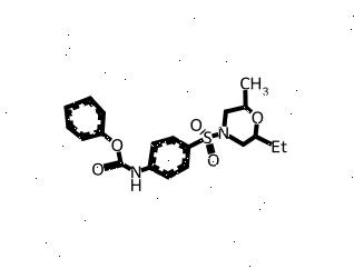 CCC1CN(S(=O)(=O)c2ccc(NC(=O)Oc3ccccc3)cc2)CC(C)O1